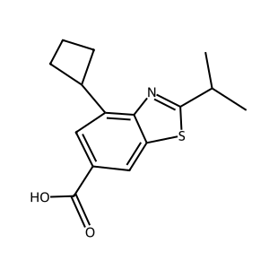 CC(C)c1nc2c(C3CCC3)cc(C(=O)O)cc2s1